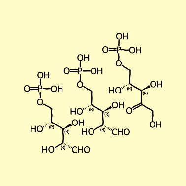 O=C(CO)[C@H](O)[C@H](O)COP(=O)(O)O.O=C[C@H](O)[C@H](O)[C@H](O)COP(=O)(O)O.O=C[C@H](O)[C@H](O)[C@H](O)COP(=O)(O)O